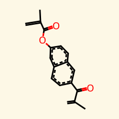 C=C(C)C(=O)Oc1ccc2cc(C(=O)C(=C)C)ccc2c1